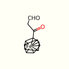 O=CCC(=O)[C]12[CH]3[CH]4[CH]5[CH]1[Fe]45321678[CH]2[CH]1[CH]6[CH]7[CH]28